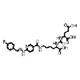 O=C(O)CCC(NC(=O)NC(CCCCNC(=O)c1ccc(N/N=C/c2ccc(F)cc2)nc1)C(=O)O)C(=O)O